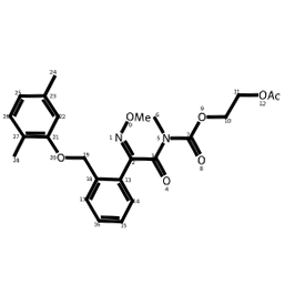 CON=C(C(=O)N(C)C(=O)OCCOC(C)=O)c1ccccc1COc1cc(C)ccc1C